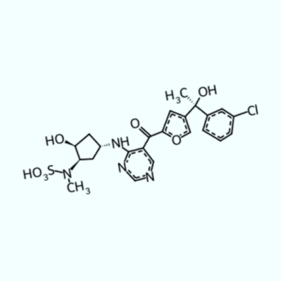 CN([C@@H]1C[C@@H](Nc2ncncc2C(=O)c2cc([C@@](C)(O)c3cccc(Cl)c3)co2)C[C@@H]1O)S(=O)(=O)O